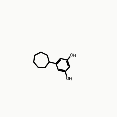 Oc1cc(O)cc(C2CCCCCC2)c1